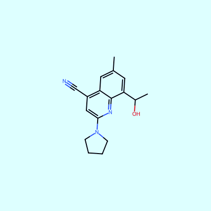 Cc1cc(C(C)O)c2nc(N3CCCC3)cc(C#N)c2c1